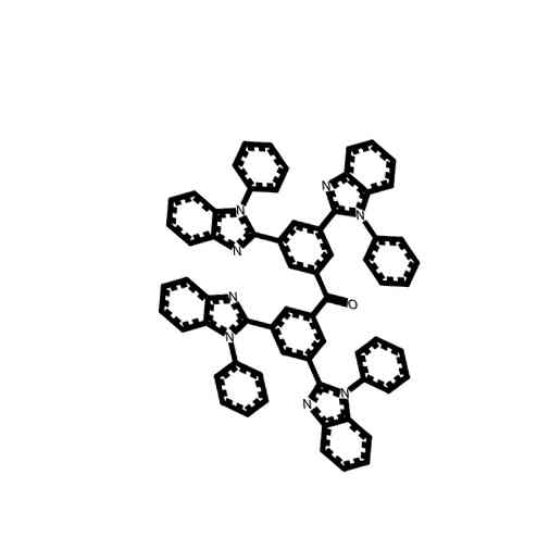 O=C(c1cc(-c2nc3ccccc3n2-c2ccccc2)cc(-c2nc3ccccc3n2-c2ccccc2)c1)c1cc(-c2nc3ccccc3n2-c2ccccc2)cc(-c2nc3ccccc3n2-c2ccccc2)c1